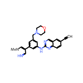 C#Cc1ccc2nc(Nc3cc(CN4CCOCC4)cc(/C(C=N)=C/NC)c3)ncc2c1